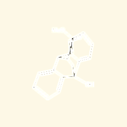 COC(=O)C1CC2(O)c3ccccc3C1c1ccccc12